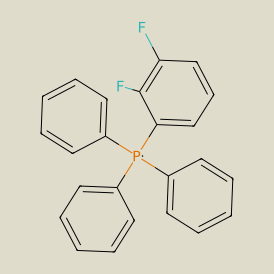 Fc1cccc([P](c2ccccc2)(c2ccccc2)c2ccccc2)c1F